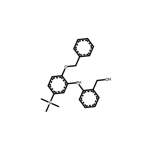 C[Si](C)(C)c1ccc(OCc2ccccc2)c(Pc2ccccc2CO)c1